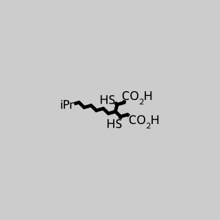 CC(C)CCCCCCC(C(S)CC(=O)O)C(S)CC(=O)O